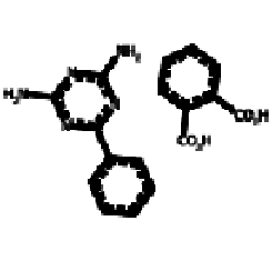 Nc1nc(N)nc(-c2ccccc2)n1.O=C(O)c1ccccc1C(=O)O